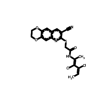 C/C=C(Cl)\C(Cl)=C(/C)NC(=O)CSc1nc2cc3c(cc2cc1C#N)OCCO3